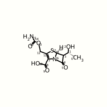 C[C@@H](O)C1C(=O)N2C(C(=O)O)=C(COC(N)=O)S[C@@H]12